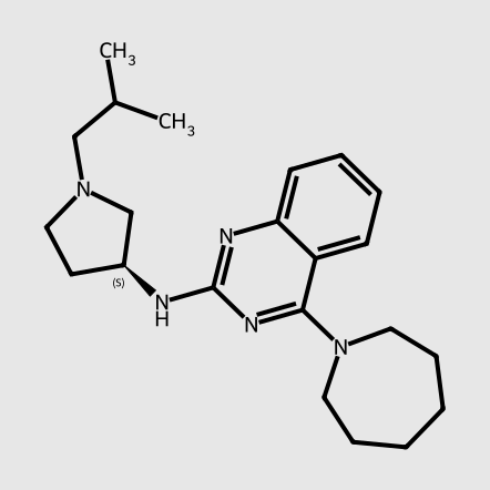 CC(C)CN1CC[C@H](Nc2nc(N3CCCCCC3)c3ccccc3n2)C1